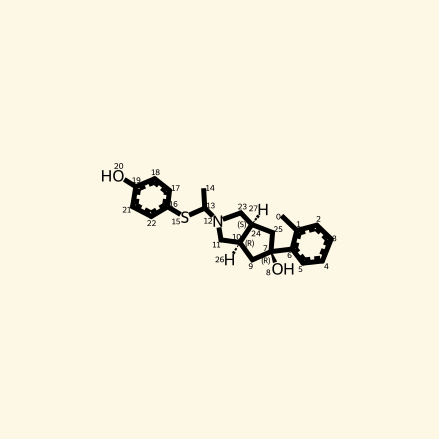 Cc1ccccc1[C@]1(O)C[C@H]2CN(C(C)Sc3ccc(O)cc3)C[C@H]2C1